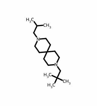 CC(C)CN1CCC2(CC1)CCN(CC(C)(C)C)CC2